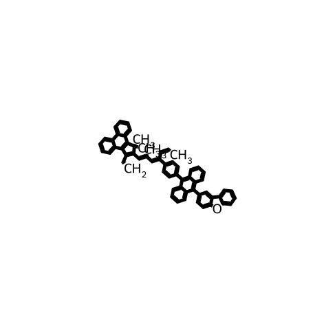 C=CC1=C(/C=C(C)/C=C(\C=C/C)c2ccc(-c3c4ccccc4c(-c4ccc5oc6ccccc6c5c4)c4ccccc34)cc2)C(C)(C)c2c1c1ccccc1c1ccccc21